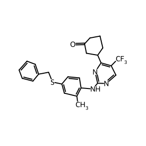 Cc1cc(SCc2ccccc2)ccc1Nc1ncc(C(F)(F)F)c(C2CCCC(=O)C2)n1